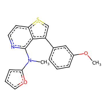 COc1cccc(-c2csc3ccnc(N(C)c4ccco4)c23)c1